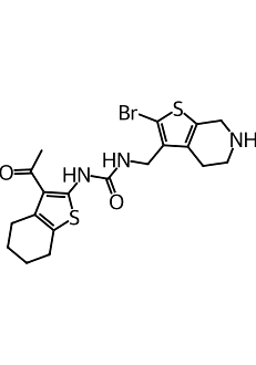 CC(=O)c1c(NC(=O)NCc2c(Br)sc3c2CCNC3)sc2c1CCCC2